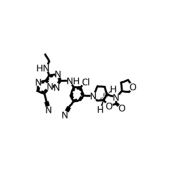 CCNc1nc(Nc2cc(C#N)cc(N3CC[C@@H]4[C@@H](C3)OC(=O)N4C3CCOC3)c2Cl)nn2c(C#N)cnc12